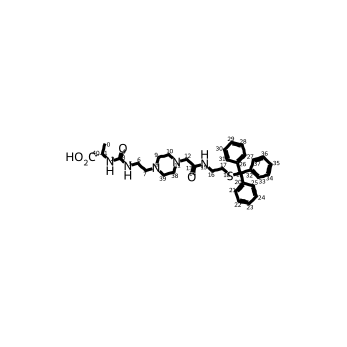 C[C@H](NC(=O)NCCN1CCN(CC(=O)NCCSC(c2ccccc2)(c2ccccc2)c2ccccc2)CC1)C(=O)O